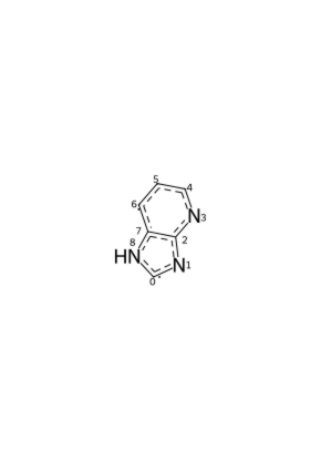 [c]1nc2ncc[c]c2[nH]1